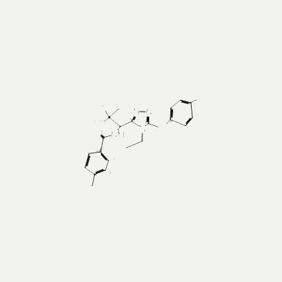 CCn1c(Oc2ccc(F)cc2)nnc1C(NC(=O)c1ccc(C)cc1)C(F)(F)F